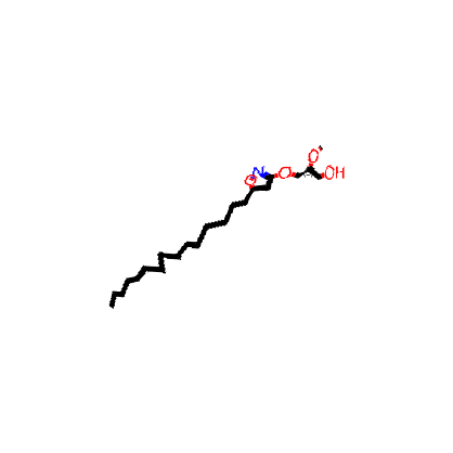 CCCCCCCCCCCCCCCc1cc(OC[C@H](CO)OC)no1